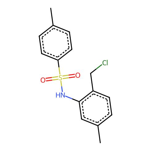 Cc1ccc(S(=O)(=O)Nc2cc(C)ccc2CCl)cc1